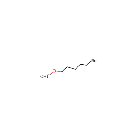 CCC(C)CCCCCOC=O